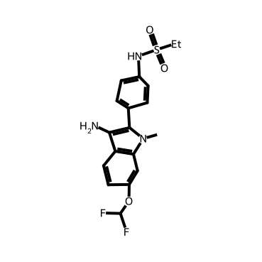 CCS(=O)(=O)Nc1ccc(-c2c(N)c3ccc(OC(F)F)cc3n2C)cc1